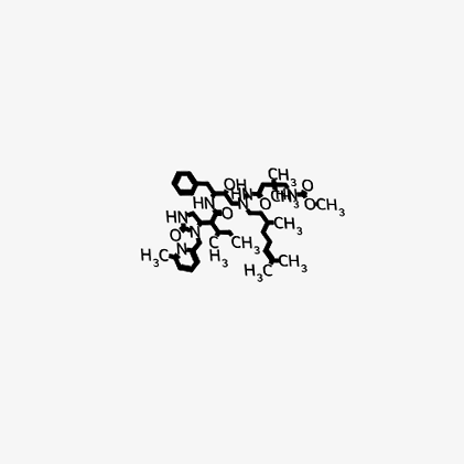 CCC(C)C(C(=O)NC(Cc1ccccc1)C(O)CN(CCC(C)CCC=C(C)C)NC(=O)CC(C)(C)CNC(=O)OC)C1CNC(=O)N1Cc1cccc(C)n1